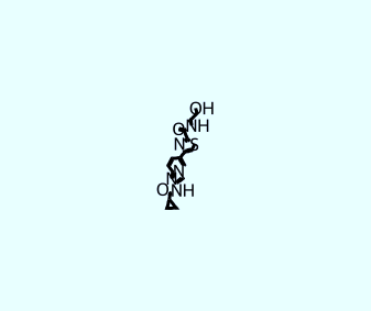 O=C(NCCO)c1nc(-c2ccc3nc(NC(=O)C4CC4)cn3c2)cs1